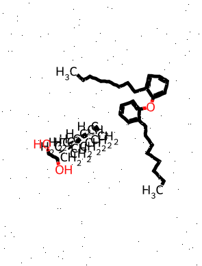 C=C.C=C.C=C.C=C.C=C.C=C.C=C.CCCCCCCCc1ccccc1Oc1ccccc1CCCCCCCC.OCCO